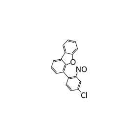 O=Nc1cc(Cl)ccc1-c1cccc2c1oc1ccccc12